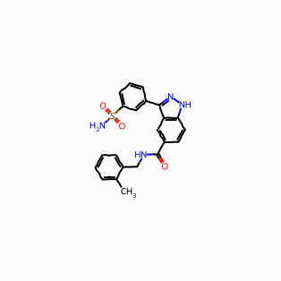 Cc1ccccc1CNC(=O)c1ccc2[nH]nc(-c3cccc(S(N)(=O)=O)c3)c2c1